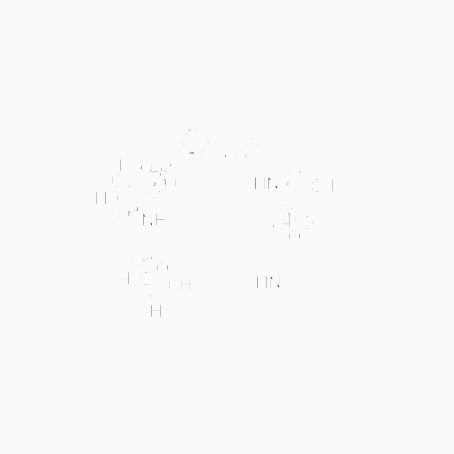 CC1CO[P@](=O)(OCC2CNCC3(CCCCCCCC3)C2)O[C@H]1C(=O)NCCC(=O)OCc1cccc(CO[P@]2(=O)OCC(C)(C)[C@H](C(=O)NCCC(=O)OC(C)(C)C)O2)c1